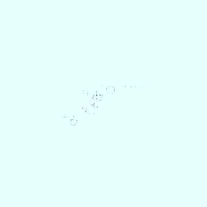 C/C=C(/C)c1cccn1CCNC(=O)c1cc(CC)n2nc(-c3ccc([C@H]4C[C@@H]4C(=O)O)cc3F)cc2n1